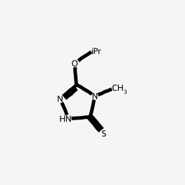 CC(C)Oc1n[nH]c(=S)n1C